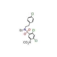 CCN(CCc1ccc(Cl)cc1)S(=O)(=O)c1cc(C(=O)O)c(Cl)cc1Cl